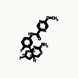 COc1cnc(C(=O)Nc2ccc(F)c([C@]34C[C@H](F)C[C@H]3CSC(N)=N4)c2)cn1